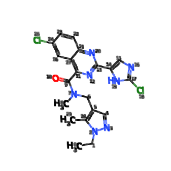 CCn1ncc(CN(C)C(=O)c2nc(-c3cnc(Cl)[nH]3)nc3ccc(Cl)cc23)c1C